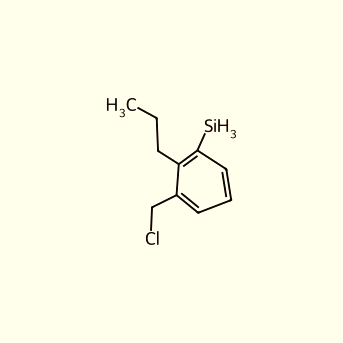 CCCc1c([SiH3])cccc1CCl